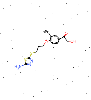 CCCc1cc(C(=O)CO)ccc1OCCCSc1nnc(N)s1